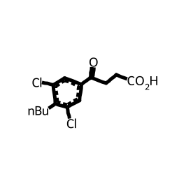 CCCCc1c(Cl)cc(C(=O)CCC(=O)O)cc1Cl